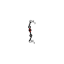 CCCCCc1ccc(C#CC23CCC(C4CCC(CCCCC)CC4)(CC2)CC3)cc1